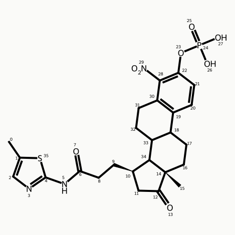 Cc1cnc(NC(=O)CC[C@@H]2CC(=O)[C@@]3(C)CCC4c5ccc(OP(=O)(O)O)c([N+](=O)[O-])c5CCC4C23)s1